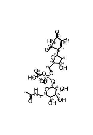 CC(=O)NC[C@H]1O[C@@H](OP(=O)(OC[C@H]2O[C@@H](n3cc(C)c(=O)[nH]c3=O)CC2O)OP(=O)(O)O)[C@H](O)[C@@H](O)[C@@H]1O